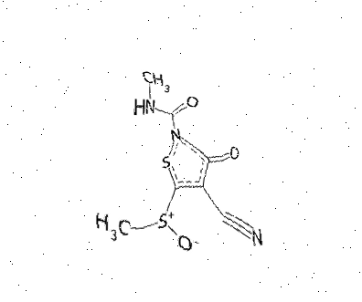 CNC(=O)n1sc([S+](C)[O-])c(C#N)c1=O